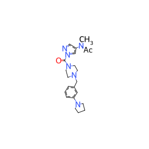 CC(=O)N(C)c1cnn(C(=O)N2CCN(Cc3cccc(N4CCCC4)c3)CC2)c1